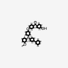 COc1cccc(N(c2ccc(Oc3ccc(C(=O)c4ccc(O)cc4)cc3)cc2)c2ccc(-c3ccccc3)cc2)c1